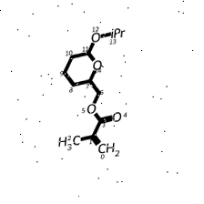 C=C(C)C(=O)OCC1CCCC(OC(C)C)O1